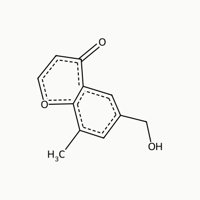 Cc1cc(CO)cc2c(=O)ccoc12